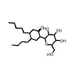 CCCCCC1CC(=O)C(C2OC(CO)C(O)C(O)C2O)CC1CCCC